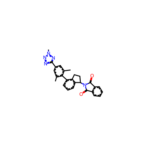 Cc1cc(-c2nnn(C)n2)cc(C)c1-c1cccc2c1CCC2N1C(=O)c2ccccc2C1=O